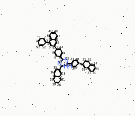 c1ccc(-c2cc(-c3ccc(C4=NC(c5ccc6ccccc6c5)NC(c5ccc(-c6ccc7ccccc7c6)cc5)=N4)cc3)cc3ccccc23)cc1